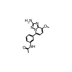 COc1ccc(-c2cccc(NC(C)=O)c2)n2nc(N)nc12